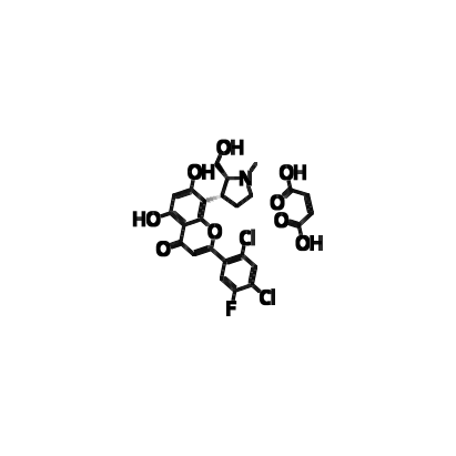 CN1CC[C@H](c2c(O)cc(O)c3c(=O)cc(-c4cc(F)c(Cl)cc4Cl)oc23)[C@H]1CO.O=C(O)/C=C\C(=O)O